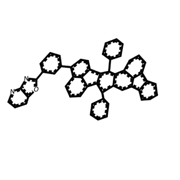 c1ccc(-c2c3cc4c5ccccc5c5cccc(c3c(-c3ccccc3)c3c6ccc(-c7cccc(-c8nc9ncccc9o8)c7)c7cccc(c23)c76)c54)cc1